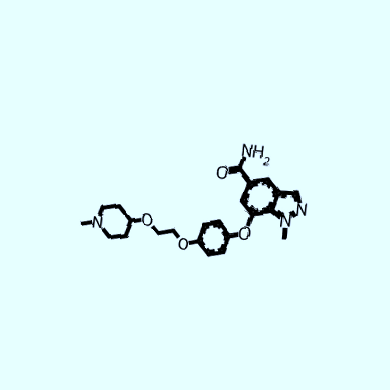 CN1CCC(OCCOc2ccc(Oc3cc(C(N)=O)cc4cnn(C)c34)cc2)CC1